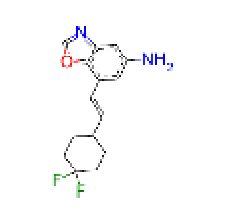 Nc1cc(C=CC2CCC(F)(F)CC2)c2ocnc2c1